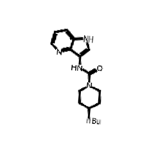 CCCCC1CCN(C(=O)Nc2c[nH]c3cccnc23)CC1